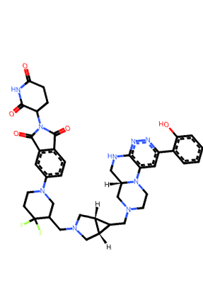 O=C1CCC(N2C(=O)c3ccc(N4CCC(F)(F)C(CN5C[C@@H]6C(CN7CCN8c9cc(-c%10ccccc%10O)nnc9NC[C@H]8C7)[C@@H]6C5)C4)cc3C2=O)C(=O)N1